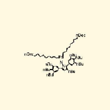 CCCCC1=C(c2cc(CCCC)c(CCCC)c(CCCC)c2)[N+](=[N-])C(c2cc(CCCC)c(CCCC)c(CCCC)c2)=C1.CCCCCCCCCCCCCCCCCC[CH2][Pd][CH2]CCCCCCCCCCCCCCCCCC